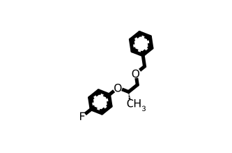 C[C@@H](COCc1ccccc1)Oc1ccc(F)cc1